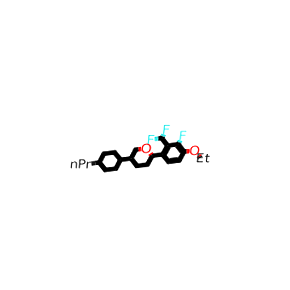 CCCC1CCC(C2CCC(c3ccc(OCC)c(F)c3C(F)F)OC2)CC1